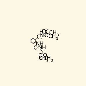 COC(CCNC(=O)Nc1ccccc1C1CCN(C(=O)OC(C)(C)C)CC1)OC